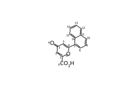 O=C(O)c1cc(=O)cc(-c2cccc3ccccc23)o1